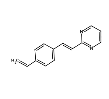 C=Cc1ccc(C=Cc2ncccn2)cc1